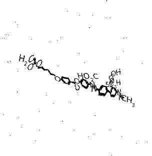 C=CC(=O)OCCCCCCOc1ccc(C(=O)Oc2ccc(N=Nc3ccc(-c4ccc(N=NC)cc4SOOO)c(S(=O)(=O)O)c3)cc2C(=O)O)cc1